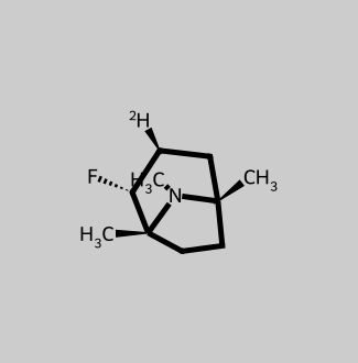 [2H][C@H]1C[C@]2(C)CC[C@](C)([C@@H]1F)N2C